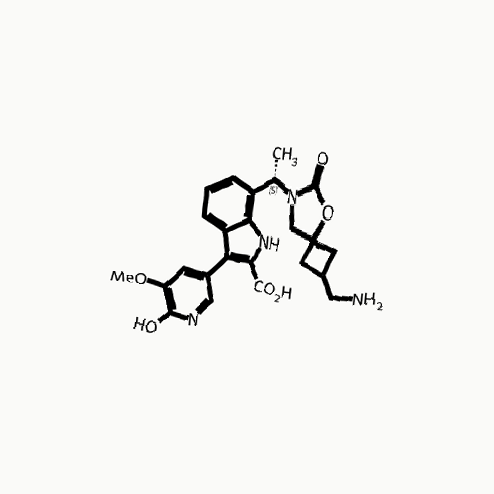 COc1cc(-c2c(C(=O)O)[nH]c3c([C@H](C)N4CC5(CC(CN)C5)OC4=O)cccc23)cnc1O